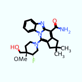 CO[C@@]1(CO)CCN(c2c3c(c(C(N)=O)c4nc5ccccc5n24)CC(C)(C)C3)C[C@@H]1F